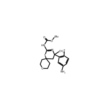 CC(C)(C)OC(=O)NC1=NC(C)(c2cc(N)ccc2F)CC2(CCOCC2)S1